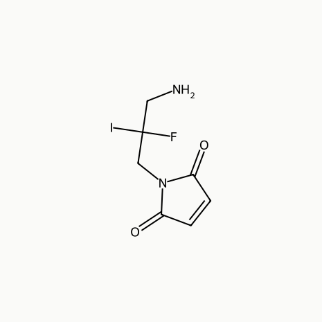 NCC(F)(I)CN1C(=O)C=CC1=O